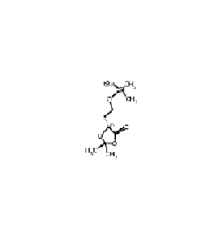 CC1(C)OC(=O)[C@@H](CCO[Si](C)(C)C(C)(C)C)O1